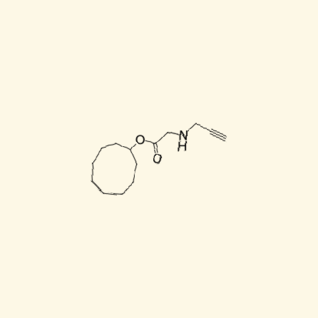 C#CCNCC(=O)OC1CCCCCCCC1